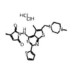 CC1=CC(=O)N(Nc2nc(-c3cccs3)nc3sc(CN4CCN(C)CC4)c(C)c23)C1=O.Cl.Cl